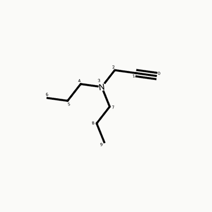 C#CCN(CCC)CCC